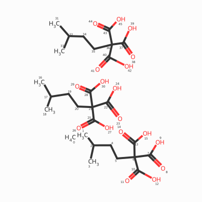 C.CC(C)CCC(C(=O)O)(C(=O)O)C(=O)O.CC(C)CCC(C(=O)O)(C(=O)O)C(=O)O.CC(C)CCC(C(=O)O)(C(=O)O)C(=O)O